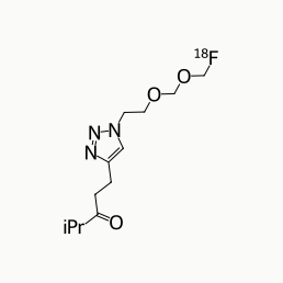 CC(C)C(=O)CCc1cn(CCOCOC[18F])nn1